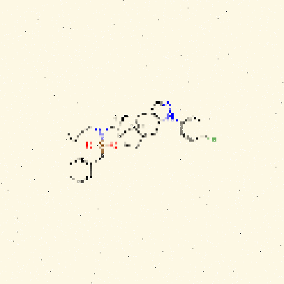 C[C@]12Cc3cnn(-c4ccc(F)cc4)c3C=C1CC[C@@H]2CN(CC1CC1)S(=O)(=O)Cc1ccccc1